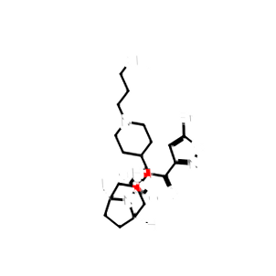 CCc1cc(C(=O)N[C@H]2C[C@H]3CC[C@@H](C2)N3S(=O)(=O)CC2CCN(CCCC(F)(F)F)CC2)no1